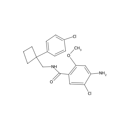 COc1cc(N)c(Cl)cc1C(=O)NCC1(c2ccc(Cl)cc2)CCC1